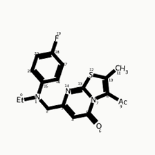 CCN(Cc1cc(=O)n2c(C(C)=O)c(C)sc2n1)c1ccc(F)cc1